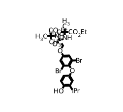 CCOC(=O)C(C)(C)NP(=O)(COc1cc(Br)c(Oc2ccc(O)c(C(C)C)c2)c(Br)c1)NC(C)(C)C(=O)OCC